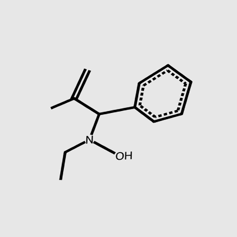 C=C(C)C(c1ccccc1)N(O)CC